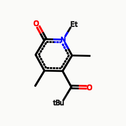 CCn1c(C)c(C(=O)C(C)(C)C)c(C)cc1=O